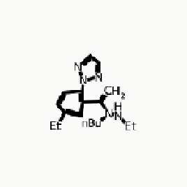 C=C(c1cc(CC)ccc1-n1nccn1)N(CCCC)NCC